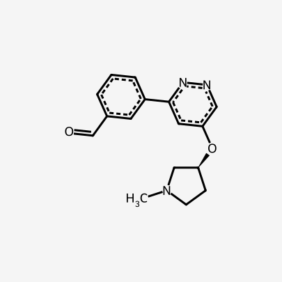 CN1CC[C@H](Oc2cnnc(-c3cccc(C=O)c3)c2)C1